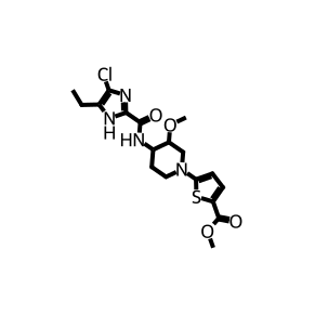 CCc1[nH]c(C(=O)NC2CCN(c3ccc(C(=O)OC)s3)CC2OC)nc1Cl